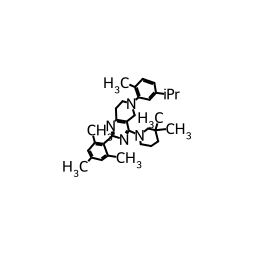 Cc1cc(C)c(-c2nc3c(c(N4CCCC(C)(C)C4)n2)CN(c2cc(C(C)C)ccc2C)CC3)c(C)c1